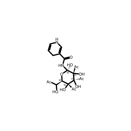 CC(=O)C(O)[C@H]1O[C@@](O)(NC(=O)C2=CNC=CC2)[C@@](O)(C(C)=O)[C@](O)(C(C)=O)[C@@]1(O)C(C)=O